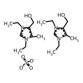 CCn1c[n+](CC)c(C)c1CO.CCn1c[n+](CC)c(C)c1CO.O=S(=O)([O-])[O-]